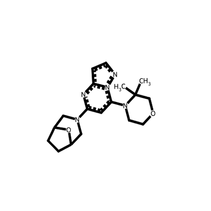 CC1(C)COCCN1c1cc(N2CC3CCC(C2)O3)nc2ccnn12